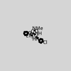 CCP(=S)(Oc1ccccc1)C(OC(=O)NC)C(=N)SSNc1ccc(Cl)cc1